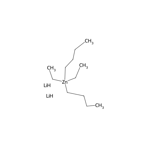 CCC[CH2][Zn]([CH2]C)([CH2]C)[CH2]CCC.[LiH].[LiH]